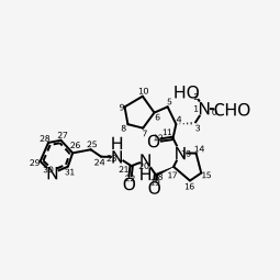 O=CN(O)C[C@@H](CC1CCCC1)C(=O)N1CCC[C@H]1C(=O)NC(=O)NCCc1cccnc1